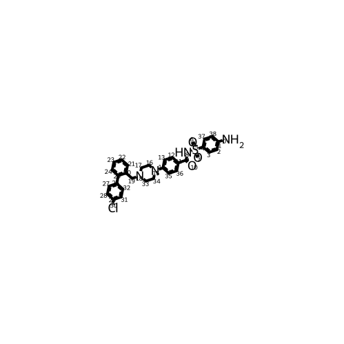 Nc1ccc(S(=O)(=O)NC(=O)c2ccc(N3CCN(Cc4ccccc4-c4ccc(Cl)cc4)CC3)cc2)cc1